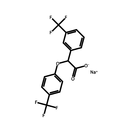 O=C([O-])C(Oc1ccc(C(F)(F)F)cc1)c1cccc(C(F)(F)F)c1.[Na+]